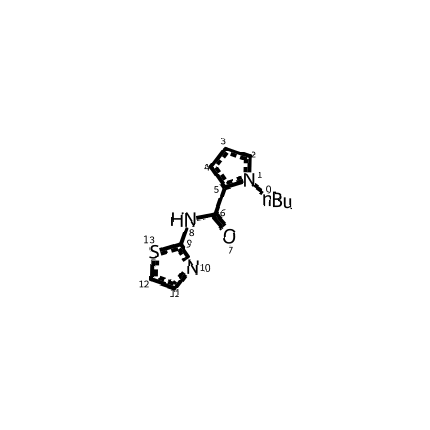 CCCCn1cccc1C(=O)Nc1nccs1